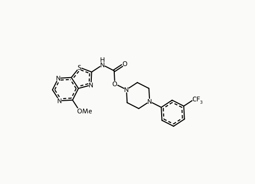 COc1ncnc2sc(NC(=O)ON3CCN(c4cccc(C(F)(F)F)c4)CC3)nc12